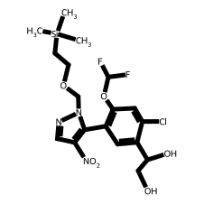 C[Si](C)(C)CCOCn1ncc([N+](=O)[O-])c1-c1cc(C(O)CO)c(Cl)cc1OC(F)F